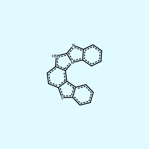 c1ccc2c(c1)nc1[nH]c3ccc4sc5ccccc5c4c3n12